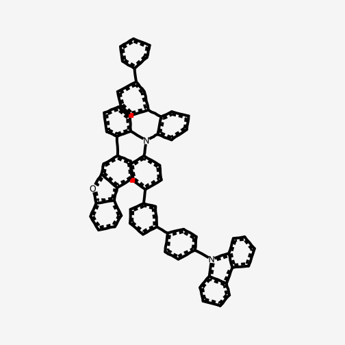 c1ccc(-c2cccc(-c3ccccc3N(c3ccc(-c4cccc(-c5ccc(-n6c7ccccc7c7ccccc76)cc5)c4)cc3)c3ccccc3-c3ccc4c(c3)oc3ccccc34)c2)cc1